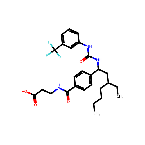 CCCCC(CC)CC(NC(=O)Nc1cccc(C(F)(F)F)c1)c1ccc(C(=O)NCCC(=O)O)cc1